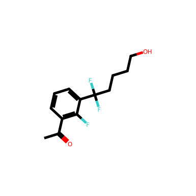 CC(=O)c1cccc(C(F)(F)CCCCO)c1F